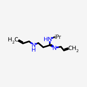 C=CC/N=C(/CCNCC=C)NC(C)C